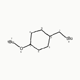 CC(C)(C)CC1CCC(OC(C)(C)C)CC1